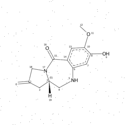 C=C1C[C@H]2CNc3cc(O)c(OC)cc3C(=O)N2C1